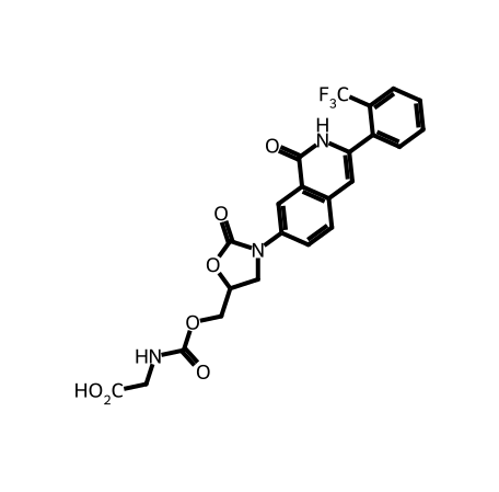 O=C(O)CNC(=O)OCC1CN(c2ccc3cc(-c4ccccc4C(F)(F)F)[nH]c(=O)c3c2)C(=O)O1